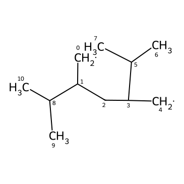 [CH2]C(CC([CH2])C(C)C)C(C)C